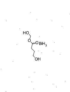 O=C(CCCO)OCO.[BiH3]